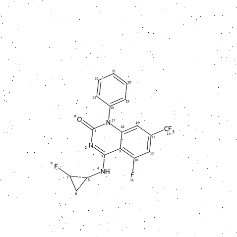 O=c1nc(NC2CC2F)c2c(F)cc(C(F)(F)F)cc2n1-c1ccccc1